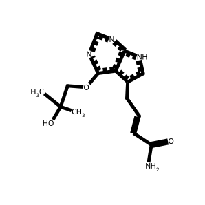 CC(C)(O)COc1ncnc2[nH]cc(CC=CC(N)=O)c12